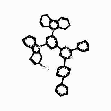 CC1C=Cc2c(n(-c3cc(-c4cc(-c5ccc(-c6ccccc6)cc5)nc(-c5ccccc5)n4)cc(-n4c5c(c6c4CCC=C6)CCC=C5)c3)c3ccccc23)C1